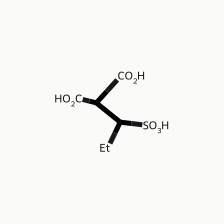 CCC([C](C(=O)O)C(=O)O)S(=O)(=O)O